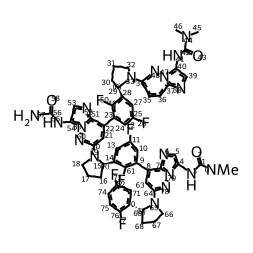 CNC(=O)Nc1cnc2c(-c3cc(F)cc([C@H]4CCCN4c4cc(-c5cc(F)cc([C@H]6CCCN6c6ccc7ncc(NC(=O)N(C)C)n7n6)c5F)c5ncc(NC(N)=O)n5n4)c3F)cc(N3CCC[C@@H]3c3cc(F)ccc3F)nn12